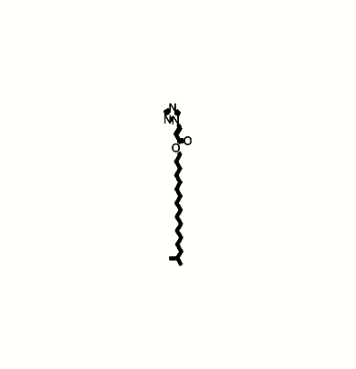 CC(C)CCCCCCCCCCCCCCCOC(=O)C=Cn1cncn1